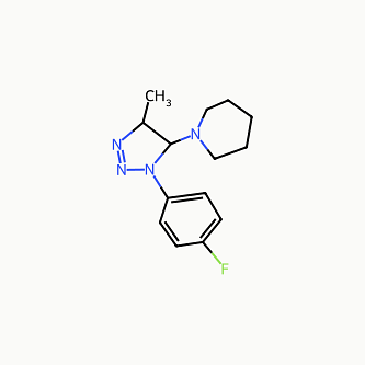 CC1N=NN(c2ccc(F)cc2)C1N1CCCCC1